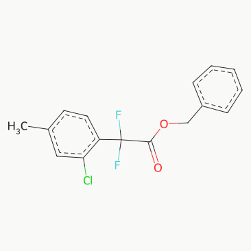 Cc1ccc(C(F)(F)C(=O)OCc2ccccc2)c(Cl)c1